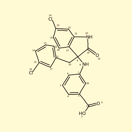 O=C(O)c1cccc(NC2(Cc3cccc(Cl)c3)C(=O)Nc3cc(Cl)ccc32)c1